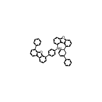 C1=CC(c2cccc3oc4cccc(Nc5ccc(-c6cccc7c6oc6c(-c8ccccc8)cccc67)cc5)c4c23)CC(c2ccccc2)=C1